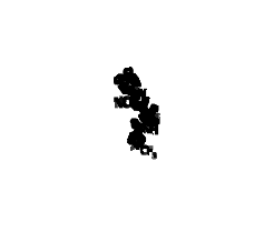 Cc1ncc(NC(=O)c2ccnc(C(F)(F)F)c2)cc1-c1cnc(N2CCS(=O)(=O)CC2)c(C#N)c1